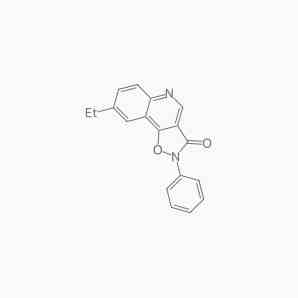 CCc1ccc2ncc3c(=O)n(-c4ccccc4)oc3c2c1